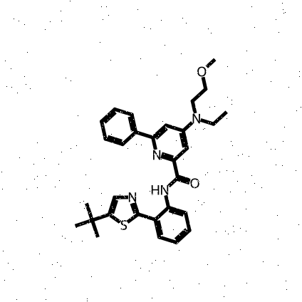 CCN(CCOC)c1cc(C(=O)Nc2ccccc2-c2ncc(C(C)(C)C)s2)nc(-c2ccccc2)c1